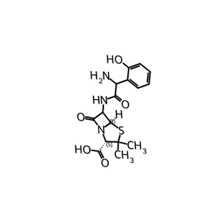 CC1(C)S[C@@H]2C(NC(=O)C(N)c3ccccc3O)C(=O)N2[C@H]1C(=O)O